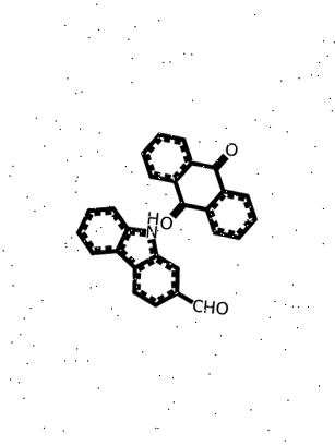 O=C1c2ccccc2C(=O)c2ccccc21.O=Cc1ccc2c(c1)[nH]c1ccccc12